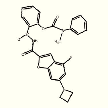 CN(C(=O)Oc1ccccc1[S+]([O-])NC(=O)c1cc2c(F)cc(N3CCC3)cc2o1)c1ccccc1